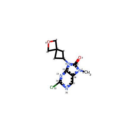 Cn1c(=O)n(C2CC3(COC3)C2)c2nc(Cl)ncc21